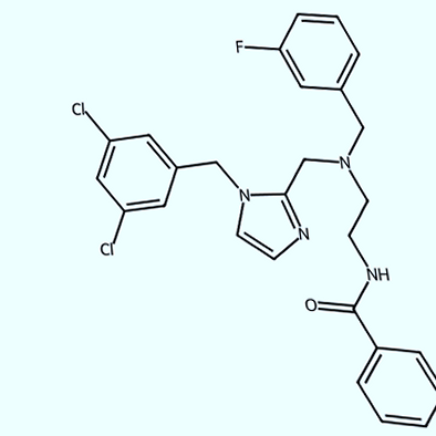 O=C(NCCN(Cc1cccc(F)c1)Cc1nccn1Cc1cc(Cl)cc(Cl)c1)c1ccccc1